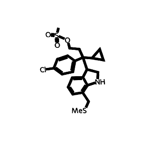 CSCc1cccc2c1NCC2C(CCOS(C)(=O)=O)(c1ccc(Cl)cc1)C1CC1